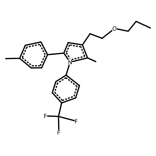 CCCOCCc1cc(-c2ccc(C)cc2)n(-c2ccc(C(F)(F)F)cc2)c1C